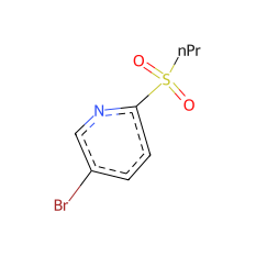 CCCS(=O)(=O)c1ccc(Br)cn1